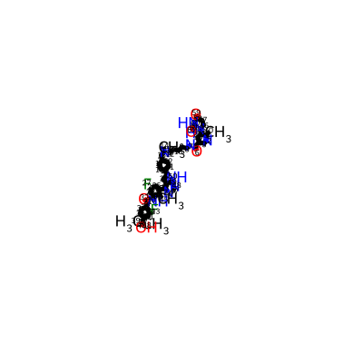 Cc1ncc(C(=O)NCCCCCN(C)Cc2ccc(-c3cc4c(-c5cc(F)cc(NC(=O)c6ccc(C(C)(C)O)cc6F)c5C)ncnc4[nH]3)cc2)cc1N1CCC(=O)NC1=O